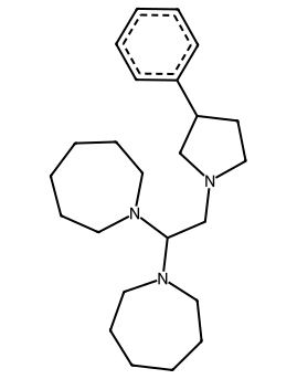 c1ccc(C2CCN(CC(N3CCCCCC3)N3CCCCCC3)C2)cc1